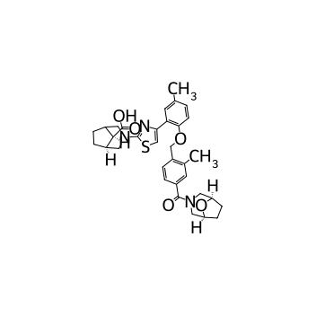 Cc1ccc(OCc2ccc(C(=O)N3C[C@H]4CC[C@@H](C3)O4)cc2C)c(-c2csc(N3CC4CC[C@H](C3)[C@@H]4C(=O)O)n2)c1